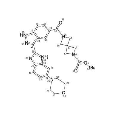 CC(C)(C)OC(=O)N1CC2(C1)CN(C(=O)c1ccc3[nH]nc(-c4nc5ccc(N6CCOCC6)cc5[nH]4)c3c1)C2